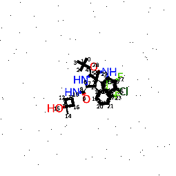 CC(C)(C)C[C@@H]1N[C@@H](C(=O)N[C@H]2C[C@@](C)(O)C2)[C@H](c2cccc(F)c2F)[C@]12C(=O)Nc1c2ccc(Cl)c1F